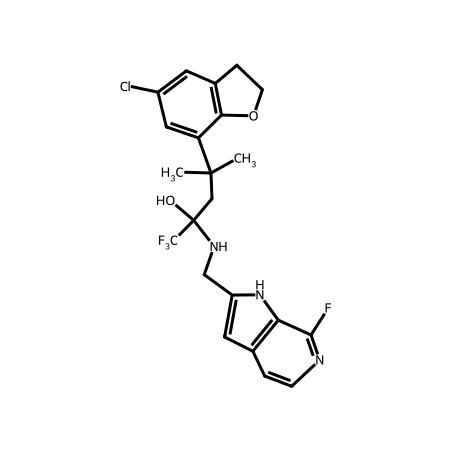 CC(C)(CC(O)(NCc1cc2ccnc(F)c2[nH]1)C(F)(F)F)c1cc(Cl)cc2c1OCC2